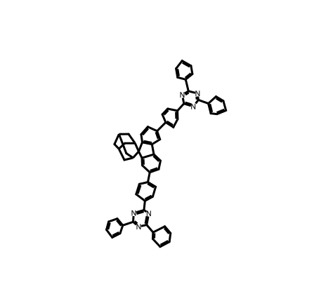 c1ccc(-c2nc(-c3ccccc3)nc(-c3ccc(-c4ccc5c(c4)-c4ccc(-c6ccc(-c7nc(-c8ccccc8)nc(-c8ccccc8)n7)cc6)cc4C54C5CC6CC(C5)CC4C6)cc3)n2)cc1